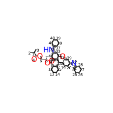 C=C(C)C(=O)OCCOC(=O)c1ccccc1-c1c2cc/c(=N\c3ccccc3)cc-2oc2cc(Nc3ccccc3)ccc12